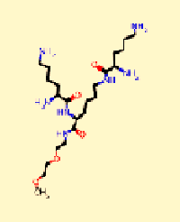 COCCOCCNC(=O)C(CCCCNC(=O)C(N)CCCCN)NC(=O)C(N)CCCCN